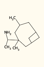 CC1CC2CC(C2)CC(C)(C(C)N)C1